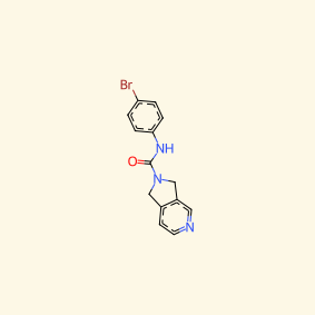 O=C(Nc1ccc(Br)cc1)N1Cc2ccncc2C1